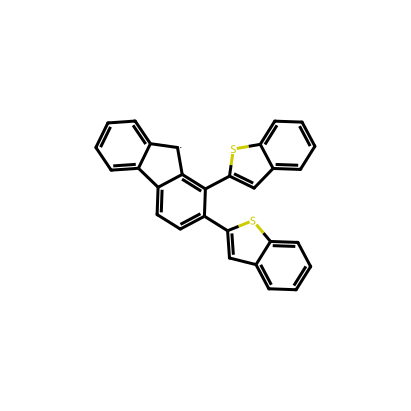 [CH]1c2ccccc2-c2ccc(-c3cc4ccccc4s3)c(-c3cc4ccccc4s3)c21